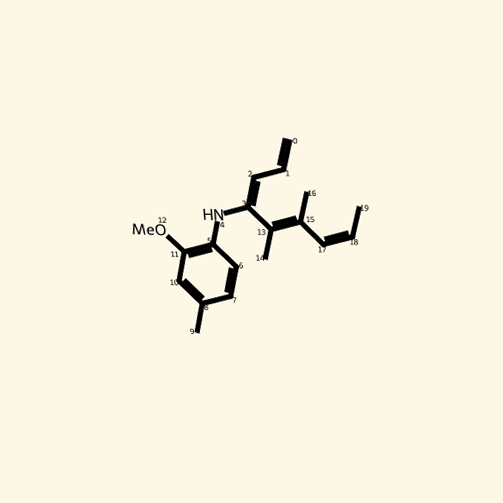 C=C\C=C(Nc1ccc(C)cc1OC)/C(C)=C(C)/C=C\C